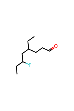 CCC(F)CC(CC)CCC=O